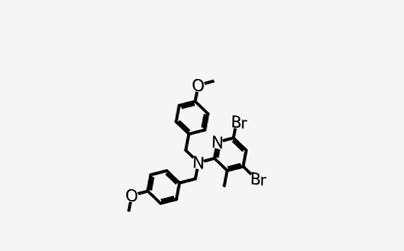 COc1ccc(CN(Cc2ccc(OC)cc2)c2nc(Br)cc(Br)c2C)cc1